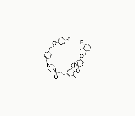 Cc1cc(C=CC(=O)N2CCN(Cc3ccc(CCOc4ccc(F)cc4)cc3)CC2)cc(Cl)c1Oc1ccc(OCc2cccc(F)c2C)cn1